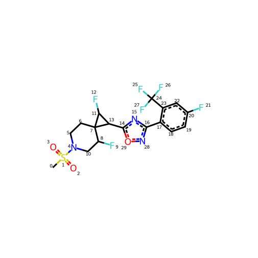 CS(=O)(=O)N1CCC2(C(F)C1)C(F)C2c1nc(-c2ccc(F)cc2C(F)(F)F)no1